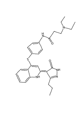 CCCC1=NNC(=O)C1=C1C=C(Sc2ccc(NC(=O)CCN(CC)CC)cc2)c2ccccc2N1